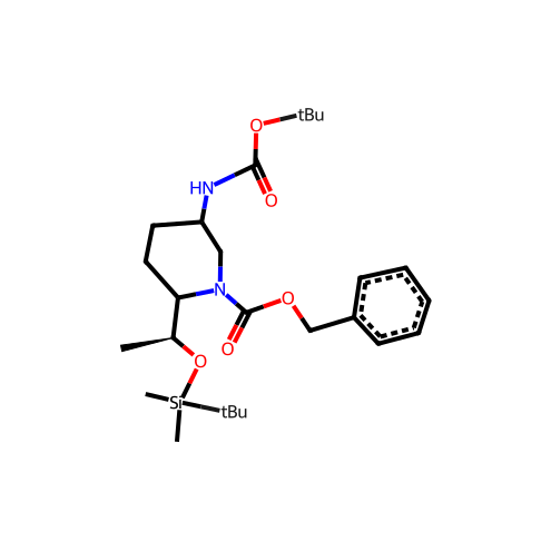 C[C@H](O[Si](C)(C)C(C)(C)C)C1CCC(NC(=O)OC(C)(C)C)CN1C(=O)OCc1ccccc1